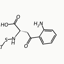 Nc1ccccc1C(=O)C[C@H](NSCl)C(=O)O